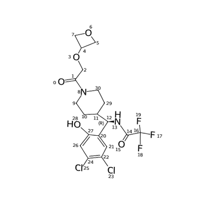 O=C(COC1COC1)N1CCC([C@@H](NC(=O)C(F)(F)F)c2cc(Cl)c(Cl)cc2O)CC1